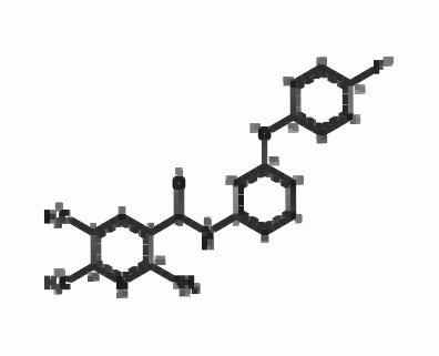 Cc1cc(C(=O)Nc2cccc(Oc3ccc(F)cc3)c2)c(N)nc1C